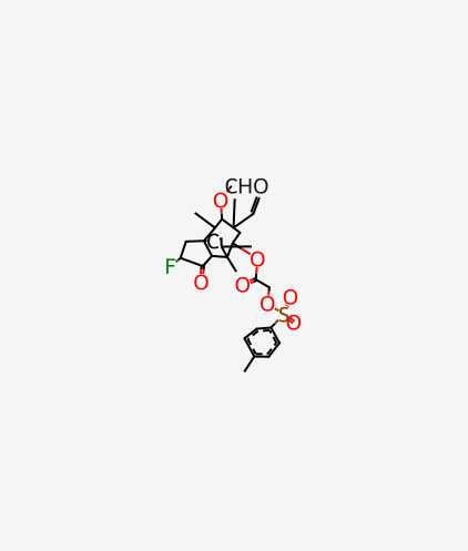 C=CC1(C)CC(OC(=O)COS(=O)(=O)c2ccc(C)cc2)C2(C)C(C)CCC3(CC(F)C(=O)C32)C(C)C1OC=O